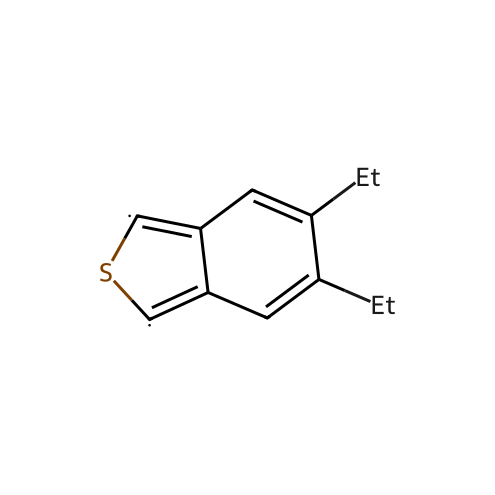 CCc1cc2[c]s[c]c2cc1CC